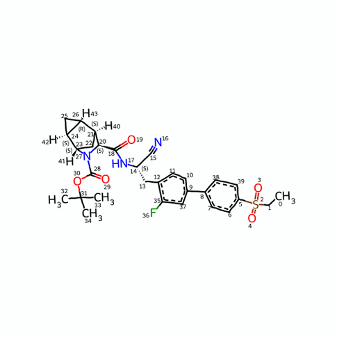 CCS(=O)(=O)c1ccc(-c2ccc(C[C@@H](C#N)NC(=O)[C@@H]3[C@H]4C[C@@H]([C@H]5C[C@@H]45)N3C(=O)OC(C)(C)C)c(F)c2)cc1